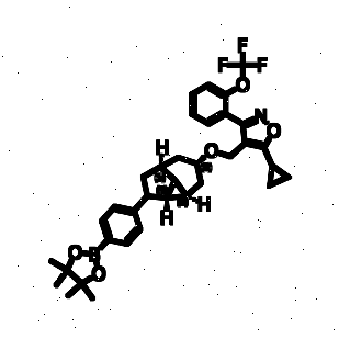 CC1(C)OB(c2ccc(C3C[C@H]4C[C@@H](OCc5c(-c6ccccc6OC(F)(F)F)noc5C5CC5)C[C@@H]5C4[C@@H]35)cc2)OC1(C)C